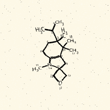 CC(C)C1(C)CCC2=C(CC3(COC3)N2C)C1(C)C